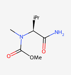 COC(=O)N(C)[C@H](C(N)=O)C(C)C